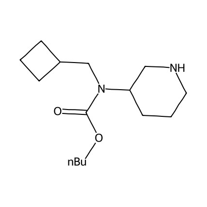 CCCCOC(=O)N(CC1CCC1)C1CCCNC1